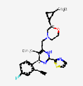 C#Cc1cc(F)ccc1[C@@H]1N=C(c2nccs2)NC(CN2CCO[C@H](C3CC3C(=O)OCC)C2)=C1C(=O)OCC